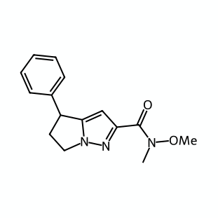 CON(C)C(=O)c1cc2n(n1)CCC2c1ccccc1